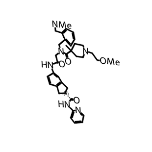 CNCc1ccccc1CN(CC(=O)Nc1ccc2c(c1)C[C@H](C(=O)Nc1ccccn1)C2)C(=O)C1(C)CCN(CCOC)CC1